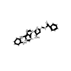 CC(=O)O[C@@H]1C[C@@H](COC(=O)c2ccccc2)O[C@H]1n1cnc2c(N[C@@H]3CCCCC3O)ncnc21